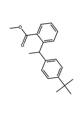 COC(=O)c1ccccc1C(C)c1ccc(C(C)(C)C)cc1